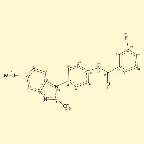 COc1ccc2c(c1)nc(C(F)(F)F)n2-c1ccc(NC(=O)c2cccc(F)c2)nc1